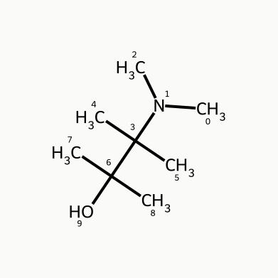 CN(C)C(C)(C)C(C)(C)O